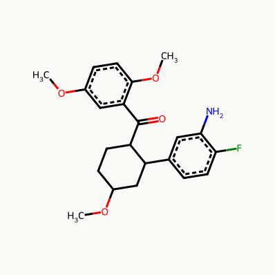 COc1ccc(OC)c(C(=O)C2CCC(OC)CC2c2ccc(F)c(N)c2)c1